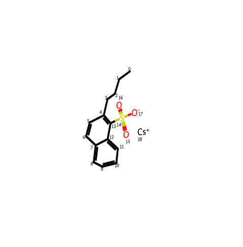 CCCCc1ccc2ccccc2c1S(=O)(=O)[O-].[Cs+]